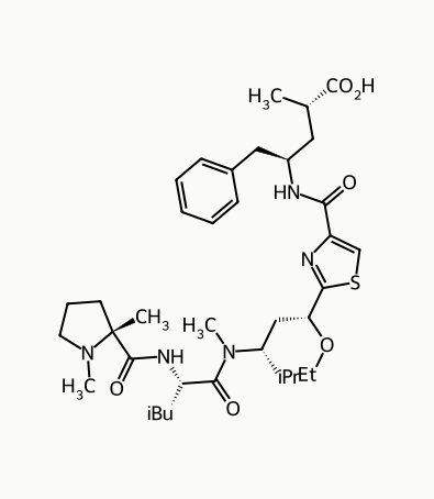 CCO[C@H](C[C@H](C(C)C)N(C)C(=O)[C@@H](NC(=O)[C@@]1(C)CCCN1C)[C@@H](C)CC)c1nc(C(=O)N[C@@H](Cc2ccccc2)C[C@H](C)C(=O)O)cs1